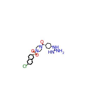 N=C(N)N[C@H]1CC[C@@H](C(=O)N2CCN(S(=O)(=O)c3ccc4cc(Cl)ccc4c3)CC2)CC1